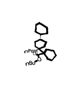 CCCCC[C@]1(C2(C(=O)OCCCC)CCCCC2)CC[C@@H](C2CCCCC2)CC1